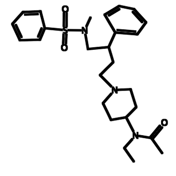 CCN(C(C)=O)C1CCN(CCC(CN(C)S(=O)(=O)c2ccccc2)c2ccccc2)CC1